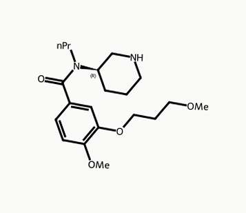 CCCN(C(=O)c1ccc(OC)c(OCCCOC)c1)[C@@H]1CCCNC1